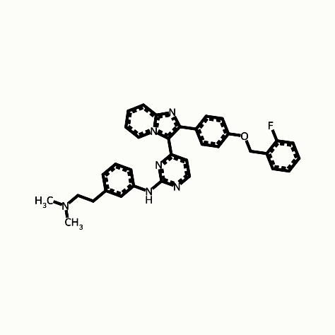 CN(C)CCc1cccc(Nc2nccc(-c3c(-c4ccc(OCc5ccccc5F)cc4)nc4ccccn34)n2)c1